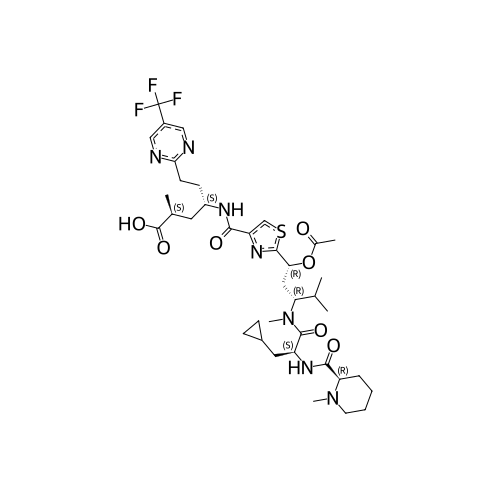 CC(=O)O[C@H](C[C@H](C(C)C)N(C)C(=O)[C@H](CC1CC1)NC(=O)[C@H]1CCCCN1C)c1nc(C(=O)N[C@@H](CCc2ncc(C(F)(F)F)cn2)C[C@H](C)C(=O)O)cs1